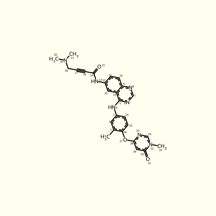 Cc1cc(Nc2ncnc3ccc(NC(=O)C#CCN(C)C)cc23)ccc1Oc1cc(=O)n(C)cn1